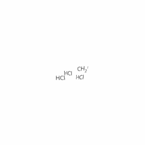 Cl.Cl.Cl.[CH2]